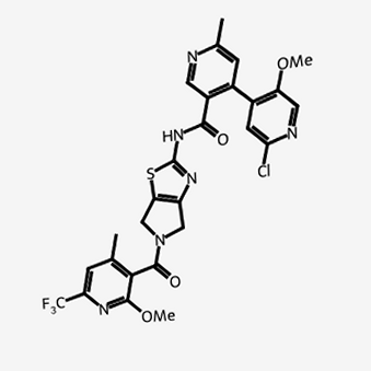 COc1cnc(Cl)cc1-c1cc(C)ncc1C(=O)Nc1nc2c(s1)CN(C(=O)c1c(C)cc(C(F)(F)F)nc1OC)C2